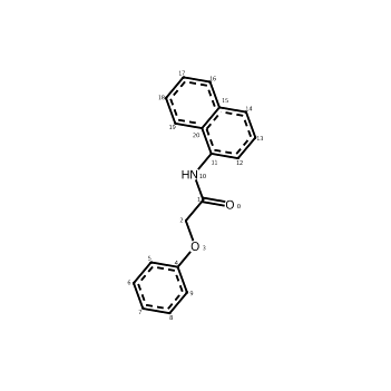 O=C(COc1ccccc1)Nc1cccc2ccccc12